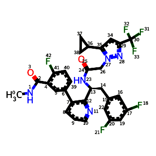 CNC(=O)c1cc(-c2cccnc2[C@H](Cc2cc(F)cc(F)c2)NC(=O)Cn2nc(C(F)(F)F)cc2C2CC2)ccc1F